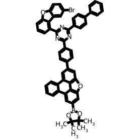 CC1(C)OB(c2cc3oc4cc(-c5ccc(-c6nc(-c7ccc(-c8ccccc8)cc7)nc(-c7cccc8oc9ccc(Br)cc9c78)n6)cc5)cc5c6ccccc6c(c2)c3c45)OC1(C)C